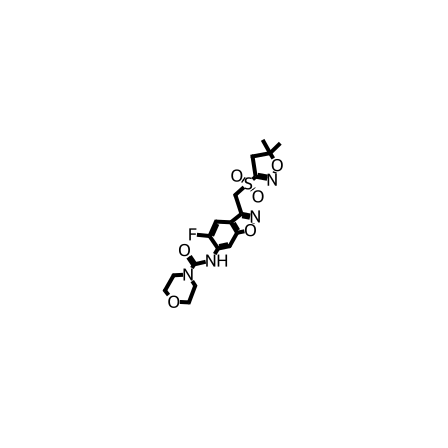 CC1(C)CC(S(=O)(=O)Cc2noc3cc(NC(=O)N4CCOCC4)c(F)cc23)=NO1